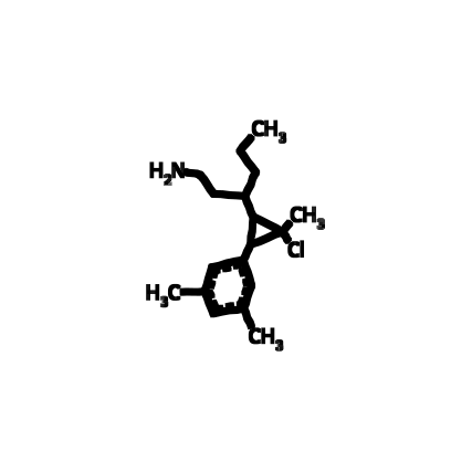 CCCC(CCN)C1C(c2cc(C)cc(C)c2)C1(C)Cl